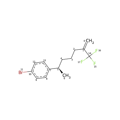 C=C(CCC[C@@H](C)c1ccc(Br)cc1)C(F)(F)F